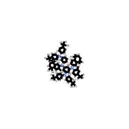 Cc1cc(C(C)(C)C)ccc1N1c2cc3c(cc2B2c4ccc(N(c5ccc(C(C)(C)C)cc5)c5ccc(C(C)(C)C)cc5)cc4N(c4cc5c(cc4C)C(C)(C)CCC5(C)C)c4cc(N(c5ccc(C(C)(C)C)cc5)c5ccc(C(C)(C)C)cc5)cc1c42)C(C)(C)CCC3(C)C